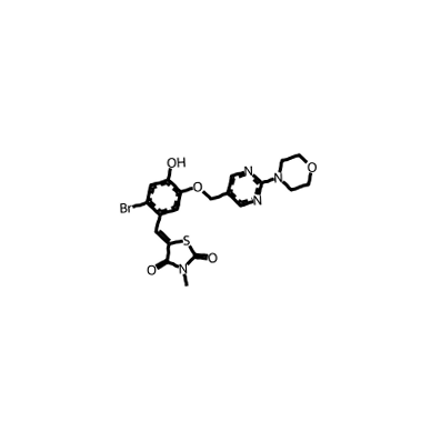 CN1C(=O)S/C(=C\c2cc(OCc3cnc(N4CCOCC4)nc3)c(O)cc2Br)C1=O